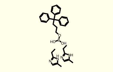 CCc1ncc(C)[nH]1.CCc1ncc(C)[nH]1.OB(O)OCCCC(c1ccccc1)(c1ccccc1)c1ccccc1